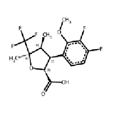 COc1c([C@H]2[C@@H](C(=O)O)O[C@@](C)(C(F)(F)F)[C@H]2C)ccc(F)c1F